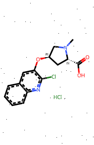 CN1C[C@H](Oc2cc3ccccc3nc2Cl)C[C@H]1C(=O)O.Cl